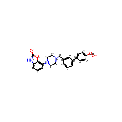 O=c1[nH]c2cccc(N3CCN(Cc4cccc(-c5ccc(OO)cc5)c4)CC3)c2o1